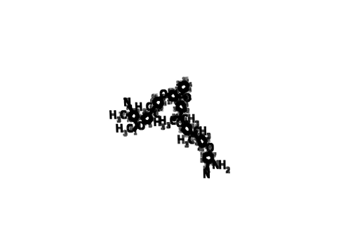 CCC(Oc1ccc(C(C)(C)c2ccc(Oc3ccc(P(=O)(c4ccccc4)c4ccc(C(C)(CC)Oc5ccc(C(C)(C)c6ccc(Oc7ccc(C#N)c(N)c7)cc6)cc5)cc4)cc3)cc2)cc1)c1ccc(C#N)c(C)c1